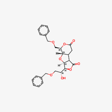 O=C1CC2C3C(=O)O[C@@H]([C@H](O)COCc4ccccc4)[C@H]3O[C@@H]2[C@@H](COCc2ccccc2)O1